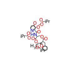 CC(C)C(=O)OCOc1c(C(=O)NC2COC(=O)C(Cc3ccccc3)[C@@H](OC(=O)C(C)C)C(C)OC2=O)n(COC(=O)C(C)C)ccc1=O